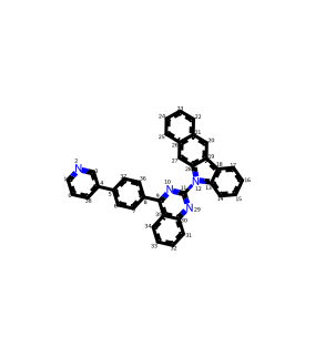 c1cncc(-c2ccc(-c3nc(-n4c5ccccc5c5cc6ccccc6cc54)nc4ccccc34)cc2)c1